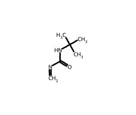 C=NC(=O)NC(C)(C)C